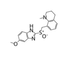 COc1ccc2[nH]c([S+]([O-])Cc3cccc4c3N(C)CCC4)nc2c1